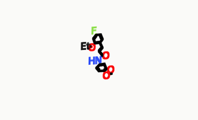 CCOc1cc(F)ccc1/C=C/C(=O)Nc1ccc2c(c1)OCO2